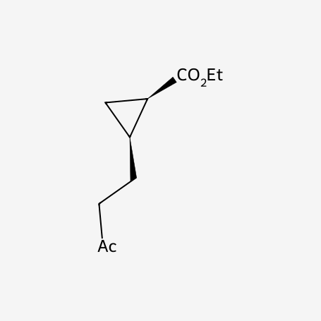 CCOC(=O)[C@@H]1C[C@@H]1CCC(C)=O